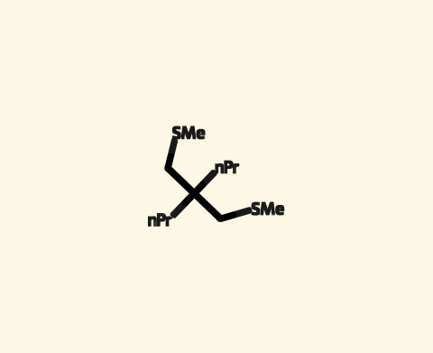 CCCC(CCC)(CSC)CSC